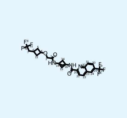 O=C(COC1CC(CC(F)(F)F)C1)NC12CC(NC(=O)c3ccc4cc(C(F)(F)F)ccc4n3)(C1)C2